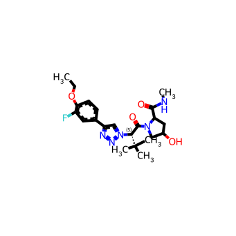 CCOc1ccc(-c2cn([C@H](C(=O)N3CC(O)CC3C(=O)NC)C(C)(C)C)nn2)cc1F